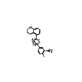 Cc1ccc(-c2nnc(-c3cccc4c3CCC[C@@H]4C)s2)cc1C#N